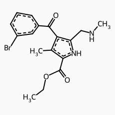 CCOC(=O)c1[nH]c(CNC)c(C(=O)c2cccc(Br)c2)c1C